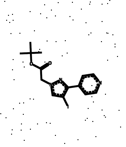 CC(C)(C)OC(=O)Cn1cc(I)c(-c2ccncc2)n1